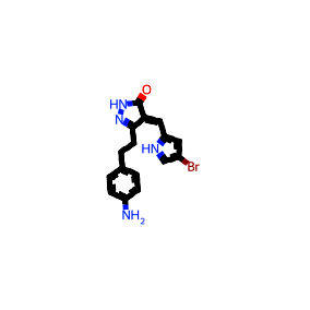 Nc1ccc(CCC2=NNC(=O)C2=Cc2cc(Br)c[nH]2)cc1